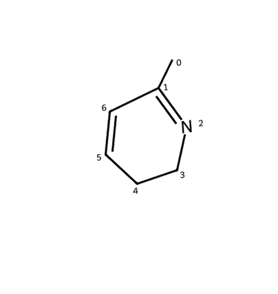 CC1=NCCC=C1